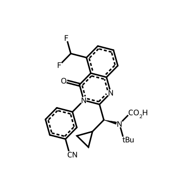 CC(C)(C)N(C(=O)O)[C@H](c1nc2cccc(C(F)F)c2c(=O)n1-c1cccc(C#N)c1)C1CC1